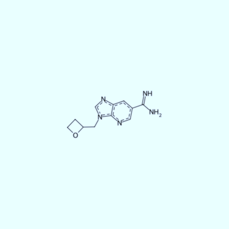 N=C(N)c1cnc2c(c1)ncn2CC1CCO1